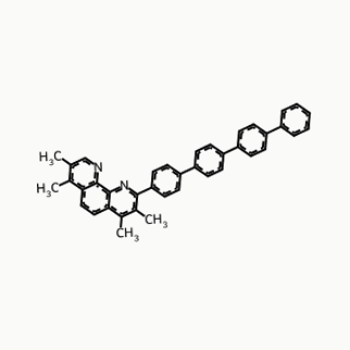 Cc1cnc2c(ccc3c(C)c(C)c(-c4ccc(-c5ccc(-c6ccc(-c7ccccc7)cc6)cc5)cc4)nc32)c1C